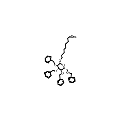 CCCCCCCCCCCCCCCCCCO[C@H]1O[C@H](COCc2ccccc2)[C@@H](OCc2ccccc2)[C@H](OCc2ccccc2)[C@H]1OCc1ccccc1